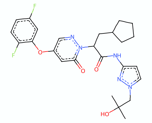 CC(C)(O)Cn1ccc(NC(=O)C(CC2CCCC2)n2ncc(Oc3cc(F)ccc3F)cc2=O)n1